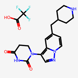 O=C(O)C(F)(F)F.O=C1CCN(c2cnn3ccc(CC4CCNCC4)cc23)C(=O)N1